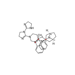 Cc1nc2ccccc2n1[C@H]1C[C@H]2CC[C@@H](C1)N2CCC1(c2ccccc2)CCN(C2=NCCN2C2=NCCN2)CC1